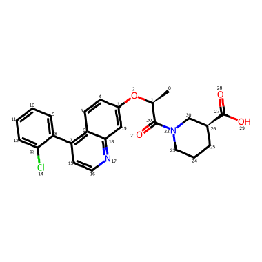 C[C@H](Oc1ccc2c(-c3ccccc3Cl)ccnc2c1)C(=O)N1CCC[C@H](C(=O)O)C1